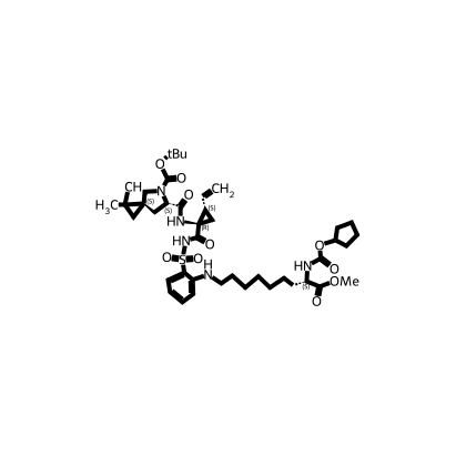 C=C[C@@H]1C[C@]1(NC(=O)[C@@H]1C[C@@]2(CN1C(=O)OC(C)(C)C)CC2(C)C)C(=O)NS(=O)(=O)c1ccccc1NCCCCCCC[C@H](NC(=O)OC1CCCC1)C(=O)OC